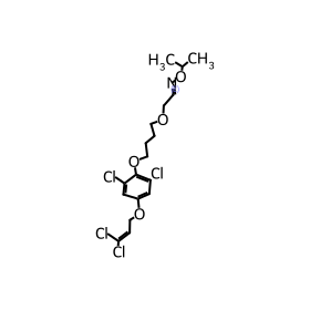 CC(C)O/N=C/COCCCCOc1c(Cl)cc(OCC=C(Cl)Cl)cc1Cl